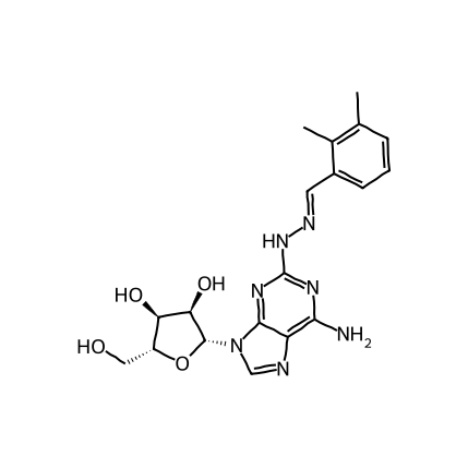 Cc1cccc(/C=N/Nc2nc(N)c3ncn([C@@H]4O[C@H](CO)[C@@H](O)[C@H]4O)c3n2)c1C